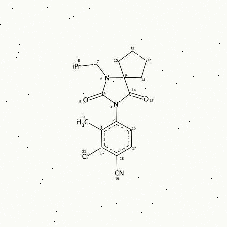 Cc1c(N2C(=O)N(CC(C)C)C3(CCCC3)C2=O)ccc(C#N)c1Cl